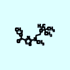 CCOC(=O)c1csc(N(C)CCOC(C)(C)C)n1